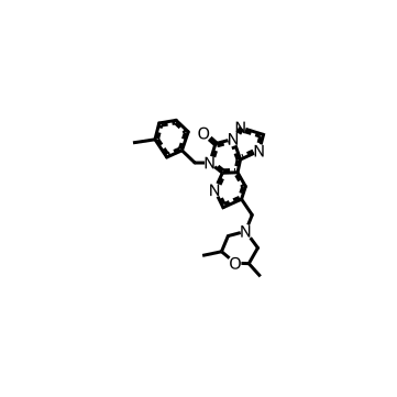 Cc1cccc(Cn2c(=O)n3ncnc3c3cc(CN4CC(C)OC(C)C4)cnc32)c1